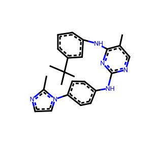 Cc1cnc(Nc2ccc(-n3ccnc3C)cc2)nc1Nc1cccc(C(C)(C)C)c1